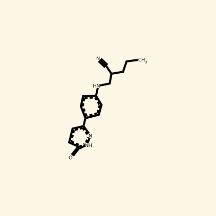 CCCC(C#N)CNc1ccc(-c2ccc(=O)[nH]n2)cc1